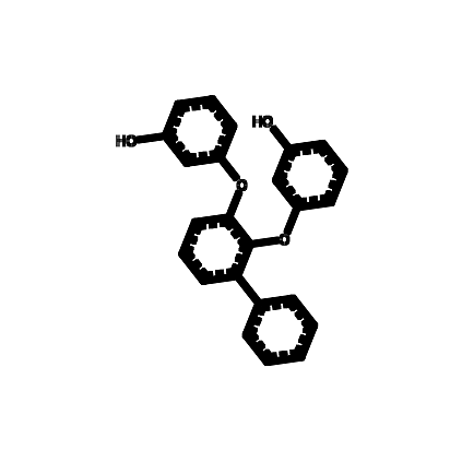 Oc1cccc(Oc2cccc(-c3ccccc3)c2Oc2cccc(O)c2)c1